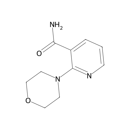 NC(=O)c1cccnc1N1CCOCC1